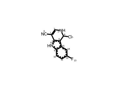 N#CC1=CNC(Cl)c2c1[nH]c1ccc(F)cc21